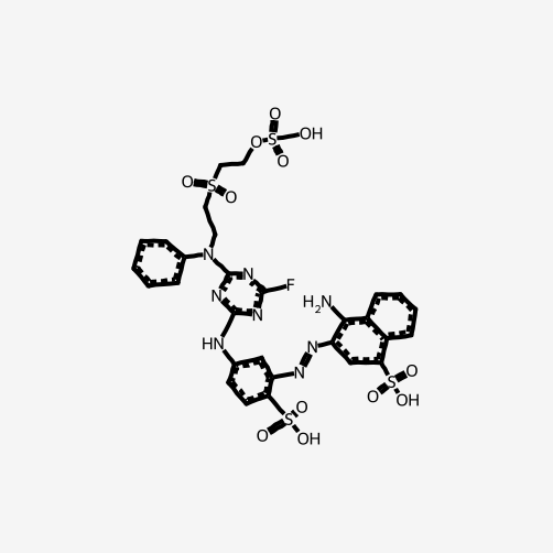 Nc1c(/N=N/c2cc(Nc3nc(F)nc(N(CCS(=O)(=O)CCOS(=O)(=O)O)c4ccccc4)n3)ccc2S(=O)(=O)O)cc(S(=O)(=O)O)c2ccccc12